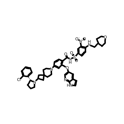 O=C(NS(=O)(=O)c1ccc(NCC2CCOCC2)c([N+](=O)[O-])c1)c1ccc(N2CCC3(CC2)CC(N2CCC[C@@H]2c2ccccc2Cl)C3)cc1Oc1cnc2[nH]ccc2c1